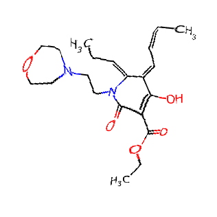 C\C=C/C=c1/c(O)c(C(=O)OCC)c(=O)n(CCN2CCOCC2)/c1=C\CC